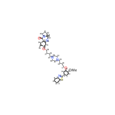 COc1ccc(-c2nc3ccccc3s2)cc1OCCCCN1CCN(CCCCOc2cc3c(cc2C)C(=O)N2CCC[C@H]2C=N3)CC1